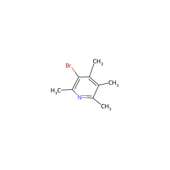 Cc1nc(C)c(Br)c(C)c1C